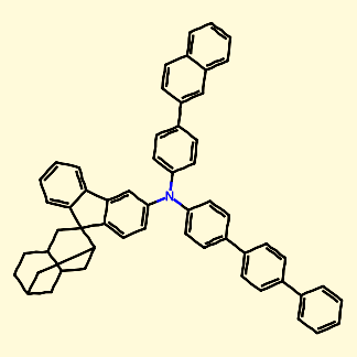 c1ccc(-c2ccc(-c3ccc(N(c4ccc(-c5ccc6ccccc6c5)cc4)c4ccc5c(c4)-c4ccccc4C54CC5CCC6CC5CC4C6)cc3)cc2)cc1